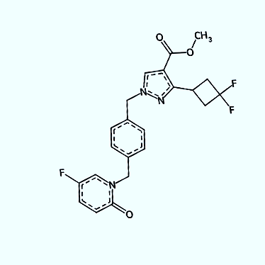 COC(=O)c1cn(Cc2ccc(Cn3cc(F)ccc3=O)cc2)nc1C1CC(F)(F)C1